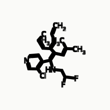 C=C/C=C(\C=C/C)C(/C=C(C)C)=C(/NCC(F)F)c1ccncc1Cl